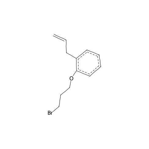 C=CCc1ccccc1OCCCBr